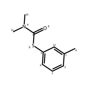 Cc1cccc(SC(=O)N(C)C)c1